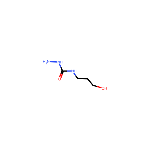 NNC(=O)NCCCO